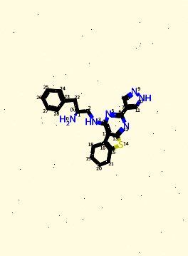 N[C@H](CNc1nc(-c2cn[nH]c2)nc2sc3c(c12)CCCC3)Cc1ccccc1